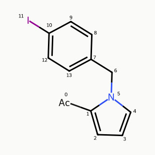 CC(=O)c1cccn1Cc1ccc(I)cc1